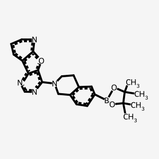 CC1(C)OB(c2ccc3c(c2)CCN(c2ncnc4c2oc2ncccc24)C3)OC1(C)C